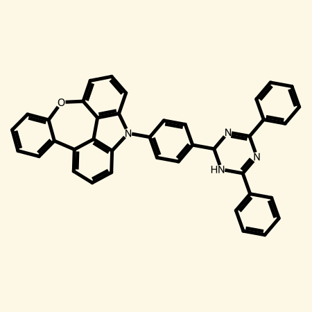 c1ccc(C2=NC(c3ccc(-n4c5cccc6oc7ccccc7c7cccc4c7c65)cc3)NC(c3ccccc3)=N2)cc1